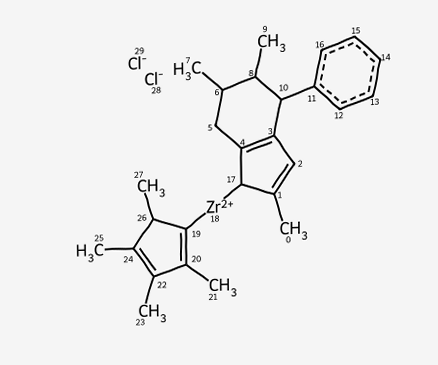 CC1=CC2=C(CC(C)C(C)C2c2ccccc2)[CH]1[Zr+2][C]1=C(C)C(C)=C(C)C1C.[Cl-].[Cl-]